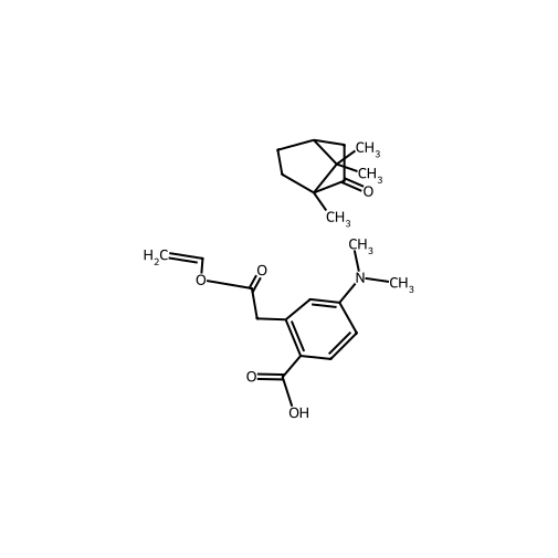 C=COC(=O)Cc1cc(N(C)C)ccc1C(=O)O.CC12CCC(CC1=O)C2(C)C